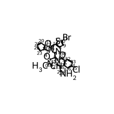 CN(C)C(=O)C(c1nc2cc(Br)sc2c(=O)n1Cc1ccccc1)N(CCCN)C(=O)c1ccc(Cl)cc1